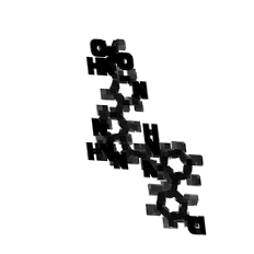 CS(=O)(=O)Nc1cncc(-c2cnc3[nH]nc(-c4nc5c(-c6cccc(Cl)c6)cccc5[nH]4)c3c2)c1